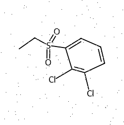 CCS(=O)(=O)c1cccc(Cl)c1Cl